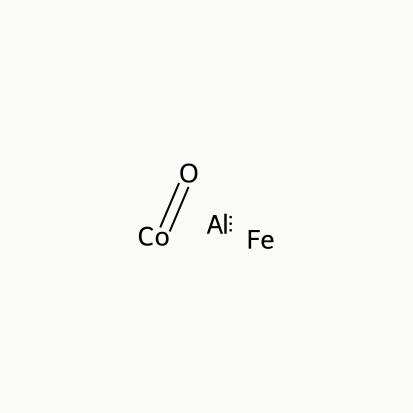 [Al].[Fe].[O]=[Co]